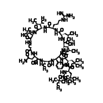 CC[C@H](C)[C@@H]1NC(=O)[C@@H](CCCNC(=N)N)NC(=O)[C@H](CC(C)C)NC(=O)[C@H]([C@H](O)C(C)C)NC(=O)[C@@H](NC(=O)[C@H](CC(C)(C)C)NC(=O)[C@@H](CC(C)(C)C)NC(=O)OC(C)(C)C)[C@@H](c2ccccc2)NC(=O)[C@H](C)NC(=O)C([C@H](O)C(N)=O)NC(=O)CNC(=O)[C@H]([C@H](C)O)NC1=O